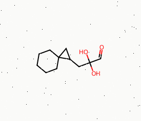 O=CC(O)(O)CC1CC12CCCCC2